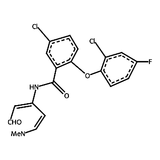 CN/C=C\C(=C/C=O)NC(=O)c1cc(Cl)ccc1Oc1ccc(F)cc1Cl